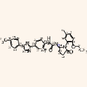 Cc1ccc(OCC(F)(F)F)c(N2C(=O)CS/C2=N\C(=O)Nc2ccc(-c3ncn(-c4ccc(C(F)(F)F)cc4)n3)cc2F)c1